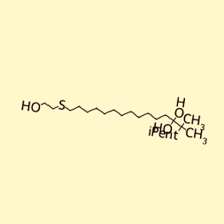 CCCC(C)C(C)(C)C(O)(O)CCCCCCCCCCCCSCCO